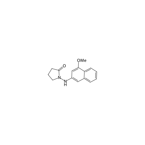 COc1cc(NN2CCCC2=O)cc2ccccc12